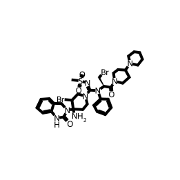 CS(=O)(=O)N=C(N1CCC(N)(N2Cc3ccccc3NC2=O)C(Br)C1)N(c1ccccc1)[C@@H](CBr)C(=O)N1CCC(N2CCCCC2)CC1